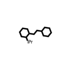 CC(C)C1CCCCC1CCC1CCCCC1